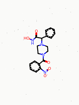 O=C(NO)C(c1ccccc1)N1CCN(C(=O)c2ccccc2[N+](=O)[O-])CC1